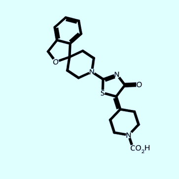 O=C1N=C(N2CCC3(CC2)OCc2ccccc23)SC1=C1CCN(C(=O)O)CC1